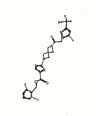 Cc1cc(C(F)(F)F)nn1CC(=O)N1CC2(C1)CN(c1nc(C(=O)OCc3c(F)cccc3Cl)cs1)C2